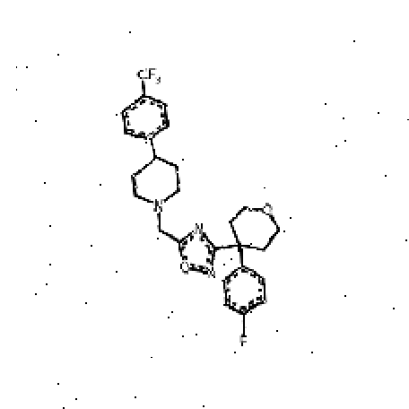 Fc1ccc(C2(c3noc(CN4CCC(c5ccc(C(F)(F)F)cc5)CC4)n3)CCOCC2)cc1